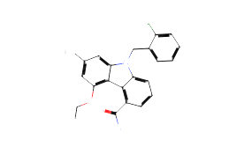 CC(C)c1cc(OCC(=O)O)c2c3c(C(N)=O)cccc3n(Cc3ccccc3Cl)c2c1